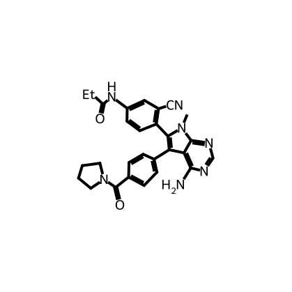 CCC(=O)Nc1ccc(-c2c(-c3ccc(C(=O)N4CCCC4)cc3)c3c(N)ncnc3n2C)c(C#N)c1